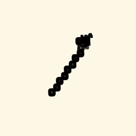 COCCOCCOCCOCCOCCOCCOCCOc1ccc2c(c1)[C@]1(C)CCN(CC3CC3)[C@H](C2=O)[C@@H]1C